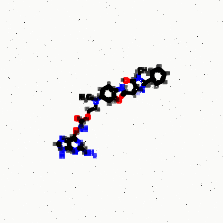 CN1C(=O)/C(=C\c2nc3ccc(N(C)CCOC(=O)NOc4nc(N)nc5[nH]cnc45)cc3o2)N=C1c1ccccc1